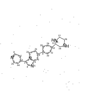 c1cc(-c2cnc3cc(-c4ccc(C5CNCCN5)cc4)ccn23)ccn1